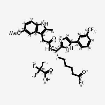 CCC(=O)CCCCC[C@H](NC(=O)Cc1c(C)[nH]c2ccc(OC)cc12)c1ncc(-c2cccc(C(F)(F)F)c2)[nH]1.O=C(O)C(F)(F)F